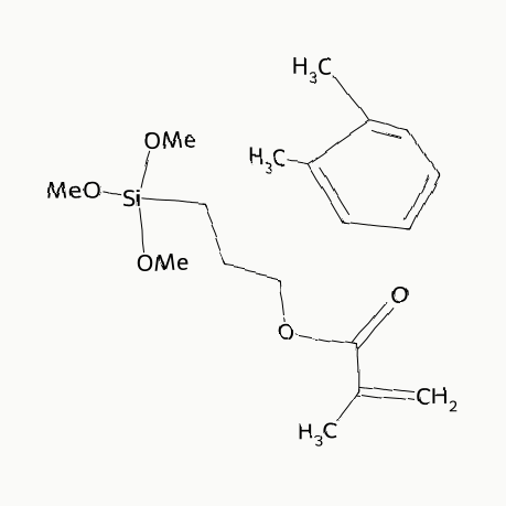 C=C(C)C(=O)OCCC[Si](OC)(OC)OC.Cc1ccccc1C